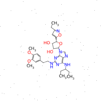 CCc1cc([C@H]2O[C@@H](n3cnc4c(NC(CC)CC)nc(NCCc5ccc(OC)c(OC)c5)nc43)[C@H](O)[C@@H]2O)on1